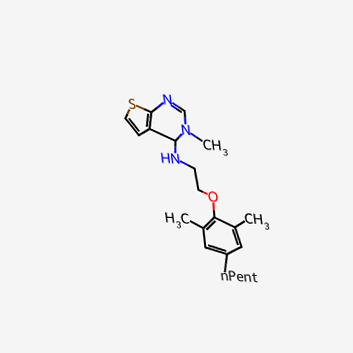 CCCCCc1cc(C)c(OCCNC2c3ccsc3N=CN2C)c(C)c1